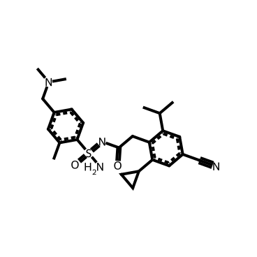 Cc1cc(CN(C)C)ccc1S(N)(=O)=NC(=O)Cc1c(C(C)C)cc(C#N)cc1C1CC1